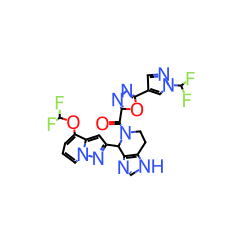 O=C(c1nnc(-c2cnn(C(F)F)c2)o1)N1CCc2[nH]cnc2C1c1cc2c(OC(F)F)cccn2n1